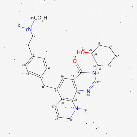 CN(CCc1ccc(Cc2cc3c(=O)n([C@H]4CCCC[C@@H]4O)cnc3c3c2C=CCN3C)cc1)C(=O)O